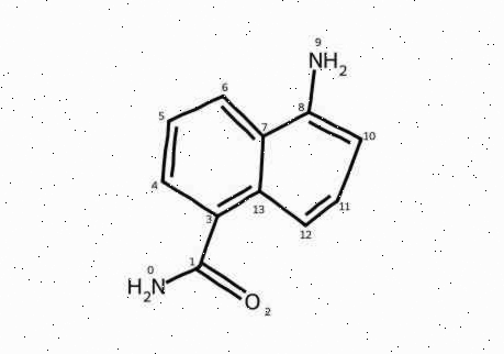 NC(=O)c1cccc2c(N)cccc12